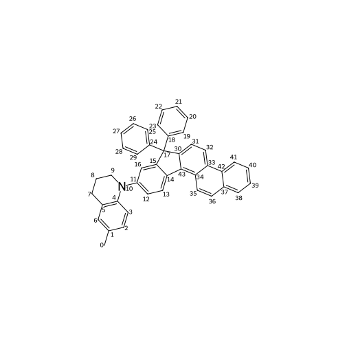 Cc1ccc2c(c1)CCCN2c1ccc2c(c1)C(c1ccccc1)(c1ccccc1)c1ccc3c(ccc4ccccc43)c1-2